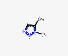 [CH2]Sc1cnnn1C